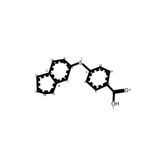 O=C(O)c1ccc(Sc2ccc3ccccc3c2)cc1